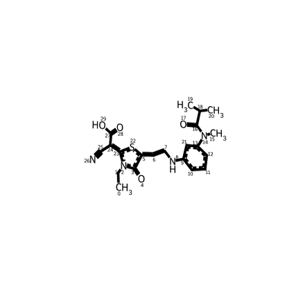 CCn1c(=O)c(=C=CNc2cccc(N(C)C(=O)C(C)C)c2)s/c1=C(/C#N)C(=O)O